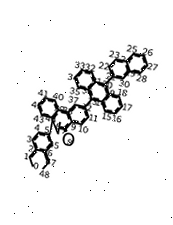 C/C=c1/ccc(-n2c(=O)c3ccc(-c4c5ccccc5c(-c5ccc6ccccc6c5)c5ccccc45)cc3c3ccccc32)c/c1=C/C